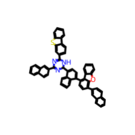 c1ccc2cc(C3=NC(c4ccc(-c5ccc(-c6ccc7ccccc7c6)c6oc7ccccc7c56)c5ccccc45)NC(c4ccc5c(c4)sc4ccccc45)=N3)ccc2c1